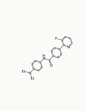 CCN(CC)c1ccc(NC(=O)c2ccc(-c3ncccc3F)cc2)cc1